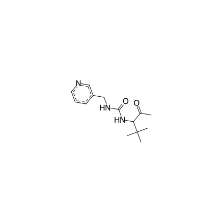 CC(=O)C(NC(=O)NCc1cccnc1)C(C)(C)C